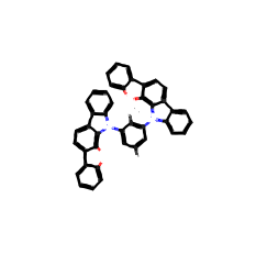 N#Cc1c(-n2c3ccccc3c3ccc4c5ccccc5oc4c32)cc(C(F)(F)F)cc1-n1c2ccccc2c2ccc3c4ccccc4oc3c21